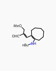 CCCCN/C1=C(\C=C(\C=O)COC)CCCCCC1